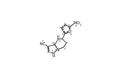 N#CC1=CNN2CCC(c3ccc([N+](=O)[O-])o3)NC12